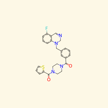 O=C(c1cccc(CN2CN=Cc3c(F)cccc32)c1)N1CCN(C(=O)c2cccs2)CC1